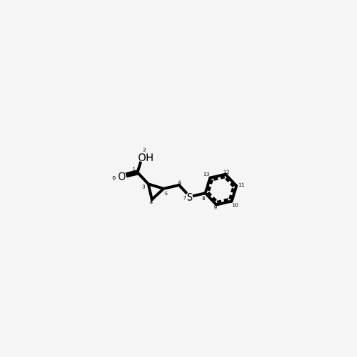 O=C(O)C1CC1CSc1ccccc1